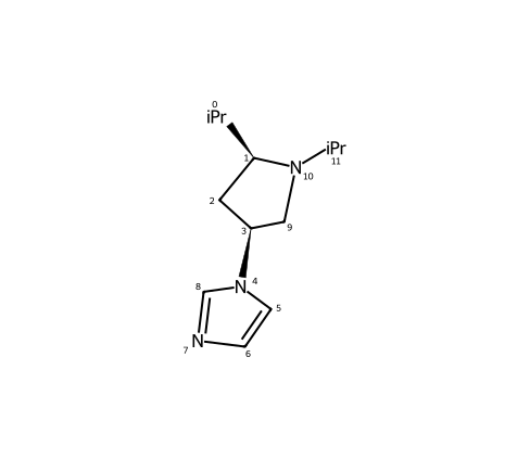 CC(C)[C@@H]1C[C@H](n2ccnc2)CN1C(C)C